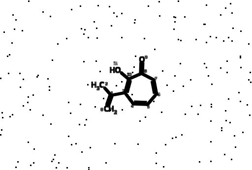 C=C(C)c1ccccc(=O)c1O